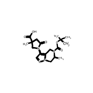 CC1Cn2ncc(N3CC(C)(C(=O)O)CC3=O)c2CN1C(=O)OC(C)(C)C